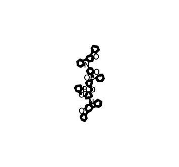 c1ccc2c(c1)Oc1cc(-n3c4ccccc4c4cc5c(cc43)oc3ccccc35)cc3c1B2c1cc2c(cc1O3)B1c3ccccc3Oc3cc(-n4c5ccccc5c5cc6c(cc54)oc4ccccc46)cc(c31)O2